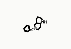 c1ccc(CN2CCC3NCCCC3C2)cc1